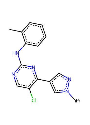 Cc1c[c]ccc1Nc1ncc(Cl)c(-c2cnn(C(C)C)c2)n1